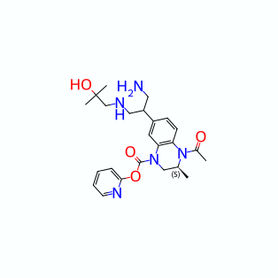 CC(=O)N1c2ccc(C(CN)CNCC(C)(C)O)cc2N(C(=O)Oc2ccccn2)C[C@@H]1C